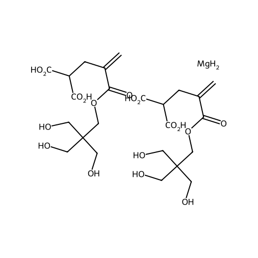 C=C(CC(C(=O)O)C(=O)O)C(=O)OCC(CO)(CO)CO.C=C(CC(C(=O)O)C(=O)O)C(=O)OCC(CO)(CO)CO.[MgH2]